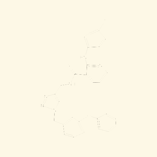 O=C(NCc1cn(Cc2cccc(Oc3ccccc3)c2)nn1)c1cccnc1Nc1ccc(F)cc1